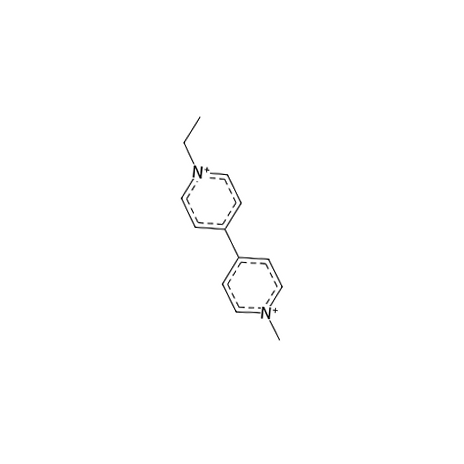 CC[n+]1ccc(-c2cc[n+](C)cc2)cc1